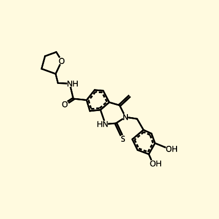 C=C1c2ccc(C(=O)NCC3CCCO3)cc2NC(=S)N1Cc1ccc(O)c(O)c1